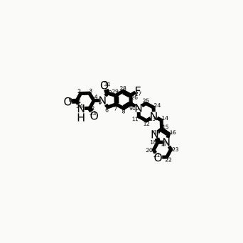 O=C1CCC(N2Cc3cc(N4CCN(Cc5cn6c(n5)COCC6)CC4)c(F)cc3C2=O)C(=O)N1